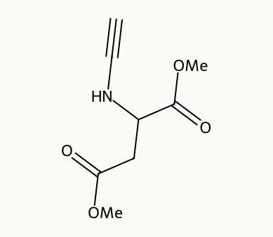 C#CNC(CC(=O)OC)C(=O)OC